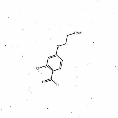 COCCOc1ccc(C(=O)Cl)c(Cl)c1